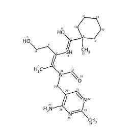 C/C(=C(CCO)/[SH]=C(\O)C1(C)CCCCC1)N(C=O)Cc1cnc(C)nc1N